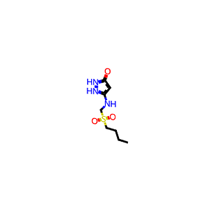 CCCCS(=O)(=O)CNc1cc(=O)[nH][nH]1